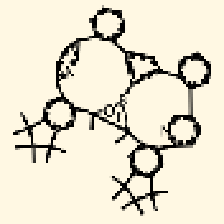 CC1(C)c2cc3c(cc2C(C)(C)C1(C)C)C1(C)OB2OC1(C)c1cc4c(cc1-c1ccc(cn1)-c1ccccc1-c1cc2cc(c1)-c1ccccc1-c1ccc-3nc1)C(C)(C)C(C)(C)C4(C)C